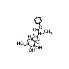 CCN(C(=O)Oc1ccccc1)C1=N[C@H]2[C@H](O[C@H](CO)C(O)[C@@H]2O)S1